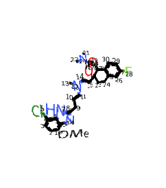 COc1ccc(Cl)c2[nH]c(CCCN(C)CCC3(OC(=O)N(C)C)CCc4cc(F)ccc4C3C(C)C)nc12